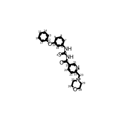 O=C(NC(=S)Nc1cccc(Oc2ccccc2)c1)c1ccc(CN2CCOCC2)nc1